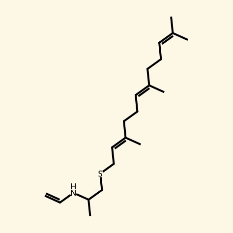 C=CNC(C)CSC/C=C(\C)CC/C=C(\C)CCC=C(C)C